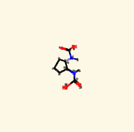 CN(C(=O)O)[C@H]1CCC[C@@H]1N(C)C(=O)O